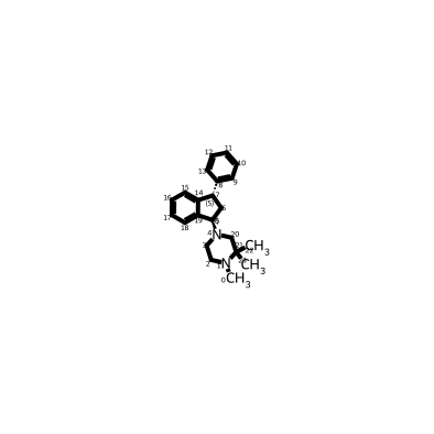 CN1CCN([C@@H]2C[C@@H](c3ccccc3)c3ccccc32)CC1(C)C